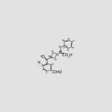 O=Cc1ccc(F)c(C(=O)N2CC(N(Cc3ccccc3)C(=O)O)C2)c1